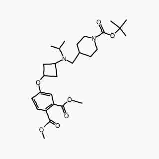 COC(=O)c1ccc(OC2CC(N(CC3CCN(C(=O)OC(C)(C)C)CC3)C(C)C)C2)cc1C(=O)OC